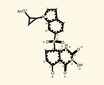 CC(=O)OC1CC1n1ccc2ccc(S(=O)(=O)c3ccc(Cl)c4c(=O)n(O)c(=O)[nH]c34)cc21